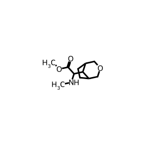 CNC(C(=O)OC)C1C2CCC1COC2